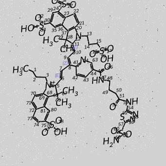 CCCC[N+]1=C(/C=C/C(=C/C=C2/N(CCCS(=O)(=O)O)c3ccc4c(S(=O)(=O)O)cc(S(=O)(=O)O)cc4c3C2(C)C)c2ccc(C(=O)NCCCC(=O)Nc3nnc(S(N)(=O)=O)s3)cn2)C(C)(C)c2c1ccc1ccc(S(=O)(=O)O)cc21